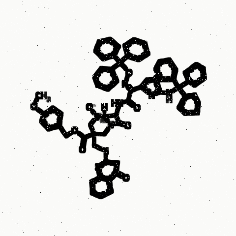 COc1ccc(COC(=O)C2(CSc3cc(=O)c4ccccc4s3)CN3C(=O)C(NC(=O)C(=NOC(c4ccccc4)(c4ccccc4)c4ccccc4)c4csc(NC(c5ccccc5)(c5ccccc5)c5ccccc5)n4)[C@H]3[S+]([O-])C2)cc1